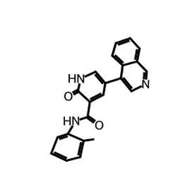 Cc1ccccc1NC(=O)c1cc(-c2cncc3ccccc23)c[nH]c1=O